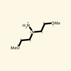 COCCN(N)CCOC